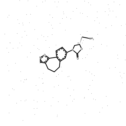 NC[C@H]1CN(c2ccc3c(c2)CCCc2cnoc2-3)C(=O)O1